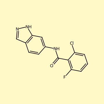 O=C(Nc1ccc2cn[nH]c2c1)c1c(F)cccc1Cl